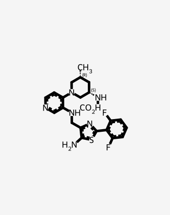 C[C@@H]1C[C@H](NC(=O)O)CN(c2ccncc2NCc2nc(-c3c(F)cccc3F)sc2N)C1